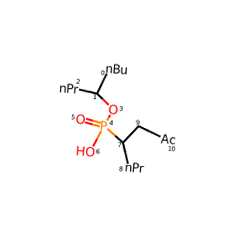 CCCCC(CCC)OP(=O)(O)C(CCC)CC(C)=O